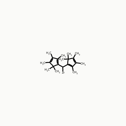 CC1=C(C)C(C)(C)C([CH]([Zr])C2=C(C)C(C)=C(C)C2(C)C)=C1C